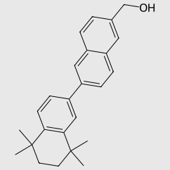 CC1(C)CCC(C)(C)c2cc(-c3ccc4cc(CO)ccc4c3)ccc21